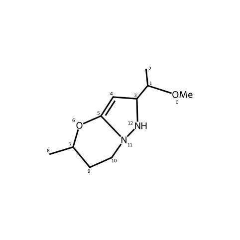 COC(C)C1C=C2OC(C)CCN2N1